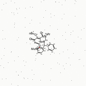 CCCCOc1c2n(c(C(=O)NC)cc1=O)N(C(c1ccccc1)c1ccccc1)CN(C(C)C)C2=O